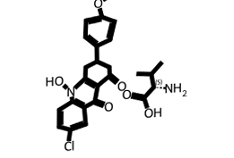 CC(C)[C@H](N)C(=O)O.COc1ccc(C2CC(=O)c3c(n(O)c4ccc(Cl)cc4c3=O)C2)cc1